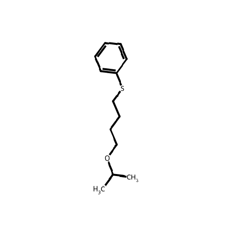 CC(C)OCCCCSc1ccccc1